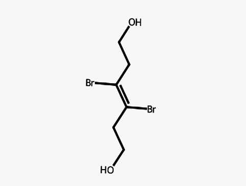 OCC/C(Br)=C(\Br)CCO